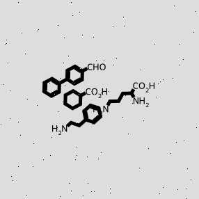 NCCCC(N)C(=O)O.NCCc1ccccc1.O=C(O)C1CCCCC1.O=Cc1ccc(-c2ccccc2)cc1